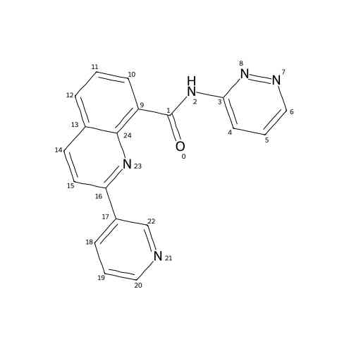 O=C(Nc1cccnn1)c1cccc2ccc(-c3cccnc3)nc12